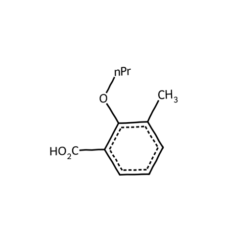 CCCOc1c(C)cccc1C(=O)O